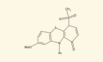 COc1ccc2c(c1)N(C(C)=O)C1=C(S2)C(S(C)(=O)=O)C=CC1=O